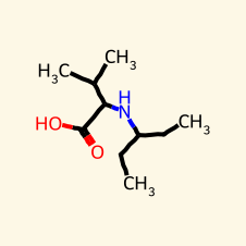 CCC(CC)NC(C(=O)O)C(C)C